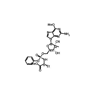 CC[C@H](NP(=O)(OC[C@H]1O[C@@H](n2cnc3c(OC)nc(N)nc32)[C@](C)(C#N)[C@@H]1O)Oc1ccccc1)C(=O)OC